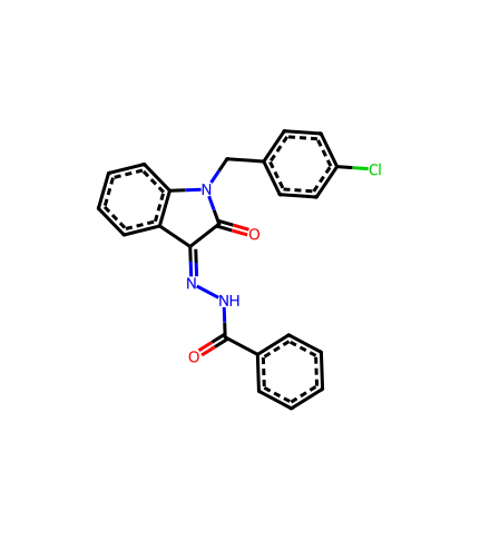 O=C(N/N=C1\C(=O)N(Cc2ccc(Cl)cc2)c2ccccc21)c1ccccc1